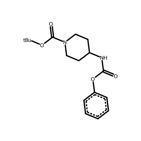 CC(C)(C)OC(=O)N1CCC(NC(=O)Oc2ccccc2)CC1